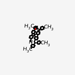 Cc1ccc(C(Cc2ccc3c(c2)C2(c4cc(C#N)ccc4-c4ccc(C#N)cc42)c2cc(N(c4ccc(C)cc4)c4ccc(C)cc4)ccc2-3)c2ccc(C)cc2)cc1